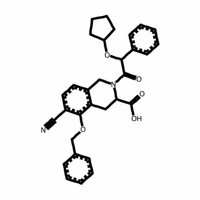 N#Cc1ccc2c(c1OCc1ccccc1)CC(C(=O)O)N(C(=O)C(OC1CCCC1)c1ccccc1)C2